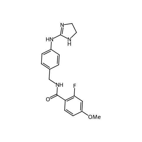 COc1ccc(C(=O)NCc2ccc(NC3=NCCN3)cc2)c(F)c1